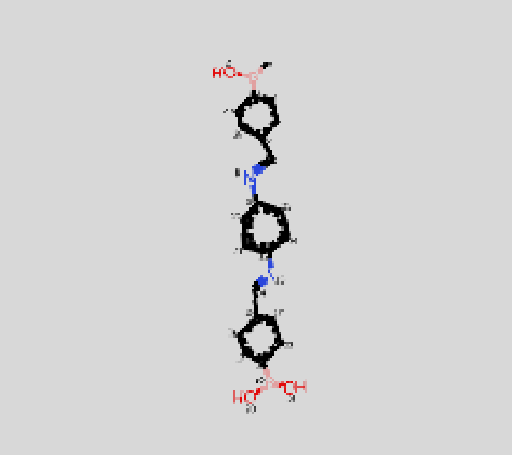 CB(O)c1ccc(/C=N/c2ccc(/N=C/c3ccc(B(O)O)cc3)cc2)cc1